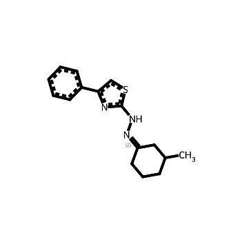 CC1CCC/C(=N/Nc2nc(-c3ccccc3)cs2)C1